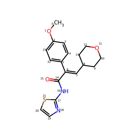 COc1ccc(/C(=C\C2CCOCC2)C(=O)Nc2nccs2)cc1